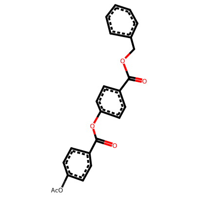 CC(=O)Oc1ccc(C(=O)Oc2ccc(C(=O)OCc3ccccc3)cc2)cc1